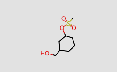 CS(=O)(=O)OC1CCCC(CO)C1